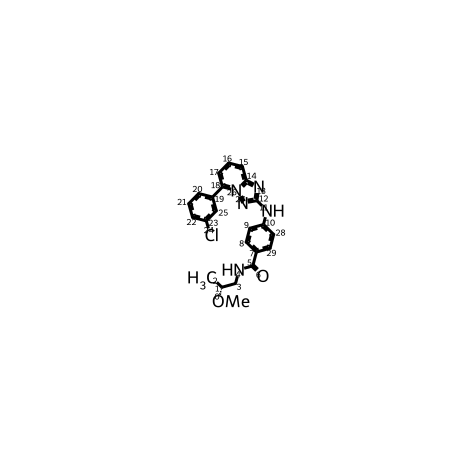 CO[C@H](C)CNC(=O)c1ccc(Nc2nc3cccc(-c4cccc(Cl)c4)n3n2)cc1